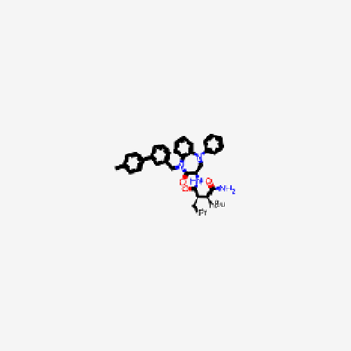 CCCC[C@H](C(N)=O)[C@@H](CC(C)C)C(=O)NC1CN(c2ccccc2)c2ccccc2N(Cc2cccc(-c3ccc(C)cc3)c2)C1=O